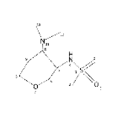 C=S(C)(=O)NC1COCCC1N(C)C